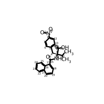 CC(C)[C@](Cc1ccc([N+](=O)[O-])cc1)(NC(=O)c1cccc2ccccc12)C(=O)O